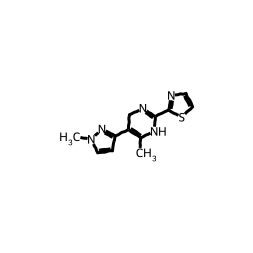 CC1=C(c2ccn(C)n2)CN=C(c2nccs2)N1